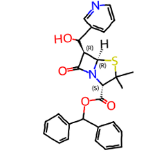 CC1(C)S[C@@H]2[C@H](C(O)c3cccnc3)C(=O)N2[C@H]1C(=O)OC(c1ccccc1)c1ccccc1